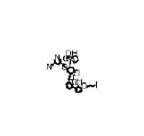 N#Cc1cncc(COc2cc(OCc3cccc(-c4cccc(OCCCI)c4Cl)c3Cl)c(Cl)cc2CN2CCCC[C@H]2C(=O)O)c1